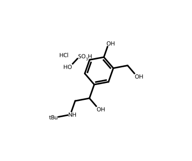 CC(C)(C)NCC(O)c1ccc(O)c(CO)c1.Cl.O=S(=O)(O)O